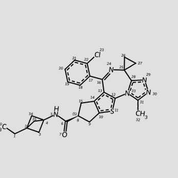 CCC12CC(NC(=O)[C@@H]3Cc4sc5c(c4C3)C(c3ccccc3Cl)=NC3(CC3)c3nnc(C)n3-5)(C1)C2